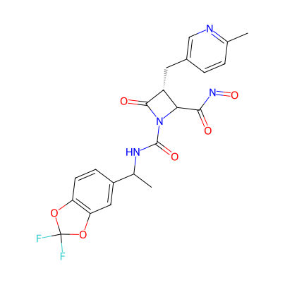 Cc1ccc(C[C@H]2C(=O)N(C(=O)NC(C)c3ccc4c(c3)OC(F)(F)O4)C2C(=O)N=O)cn1